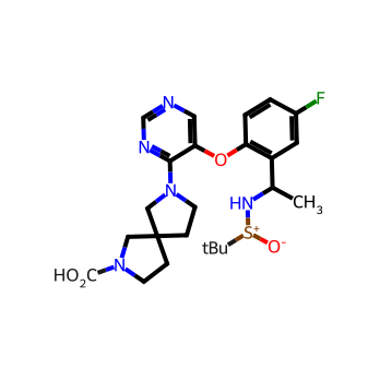 CC(N[S+]([O-])C(C)(C)C)c1cc(F)ccc1Oc1cncnc1N1CCC2(CCN(C(=O)O)C2)C1